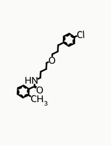 Cc1ccccc1C(=O)NCCCCOCCCc1ccc(Cl)cc1